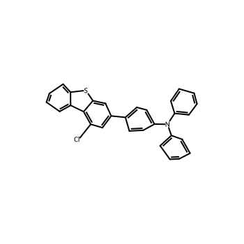 Clc1cc(-c2ccc(N(c3ccccc3)c3ccccc3)cc2)cc2sc3ccccc3c12